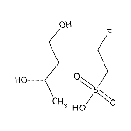 CC(O)CCO.O=S(=O)(O)CCF